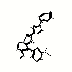 CCc1ccn2cc(-c3ccc(-c4ccccc4)cc3)nc2c1-c1cccc(OC)c1